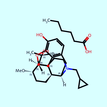 CCCCCC(=O)O.CO[C@@]12CC[C@@]3(C[C@@H]1[C@](C)(O)C(C)(C)C)[C@H]1Cc4ccc(O)c5c4[C@@]3(CCN1CC1CC1)[C@H]2O5